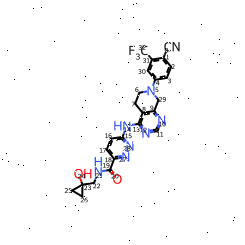 N#Cc1ccc(N2CCc3c(ncnc3Nc3ccc(C(=O)NCC4(O)CC4)nn3)C2)cc1C(F)(F)F